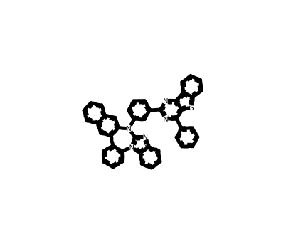 c1ccc(-c2nc(-c3cccc(N4c5cc6ccccc6cc5-c5ccccc5-n5c4nc4ccccc45)c3)nc3c2sc2ccccc23)cc1